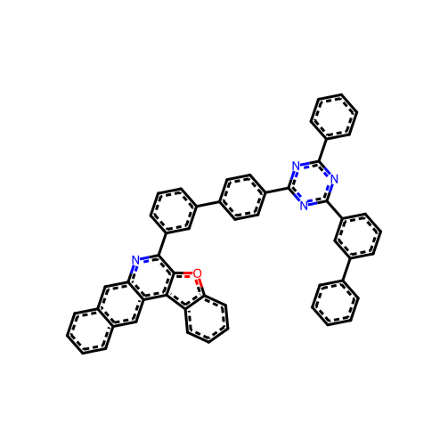 c1ccc(-c2cccc(-c3nc(-c4ccccc4)nc(-c4ccc(-c5cccc(-c6nc7cc8ccccc8cc7c7c6oc6ccccc67)c5)cc4)n3)c2)cc1